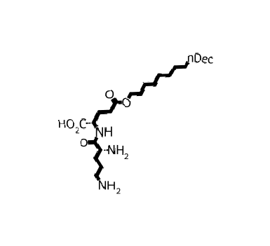 CCCCCCCCCCCCCCCCCCOC(=O)CC[C@H](NC(=O)[C@H](N)CCCN)C(=O)O